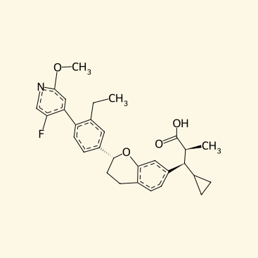 CCc1cc([C@H]2CCc3ccc([C@H](C4CC4)[C@H](C)C(=O)O)cc3O2)ccc1-c1cc(OC)ncc1F